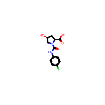 O=C(O)[C@@H]1C[C@H](O)CN1C(=O)Nc1ccc(Cl)cc1